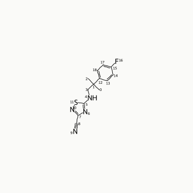 CC(C)(CNc1nc(C#N)ns1)c1ccc(F)cc1